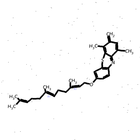 C=c1cc(C)c2c(c1C)Sc1cc(OC/C=C(\C)CC/C=C(\C)CCC=C(C)C)ccc1N=2